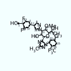 C#Cc1c(F)cc(-c2cnn(C3C(O)[C@H](c4nc(C)nn4-c4cc(Cl)ccc4C(F)(F)F)OC(C(C)O)[C@@H]3OC)c2)cc1F